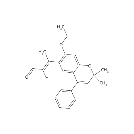 CCOc1cc2c(cc1C(C)=C(F)C=O)C(c1ccccc1)=CC(C)(C)O2